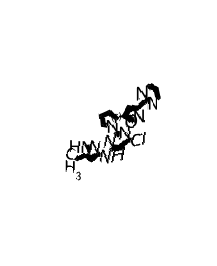 CCc1cc(Nc2cc(Cl)nc(N3CCC[C@H]3c3cc(-c4ncccn4)no3)n2)n[nH]1